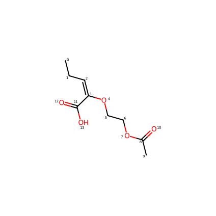 CC/C=C(/OCCOC(C)=O)C(=O)O